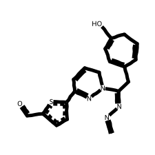 C=N/N=C(/CC1=CC=C(O)CC=C1)N1CC=CC(c2ccc(C=O)s2)=N1